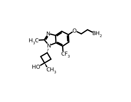 BCCOc1cc(C(F)(F)F)c2c(c1)nc(C)n2[C@H]1C[C@@](C)(O)C1